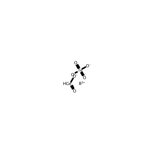 O=[Te](=O)([O-])[O-].[B+3].[O]=[GeH][O-]